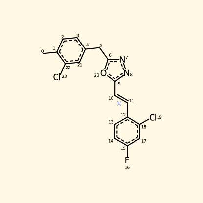 Cc1ccc(Cc2nnc(/C=C/c3ccc(F)cc3Cl)o2)cc1Cl